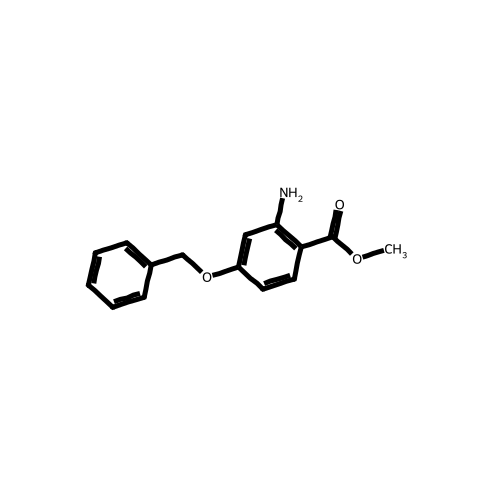 COC(=O)c1ccc(OCc2ccccc2)cc1N